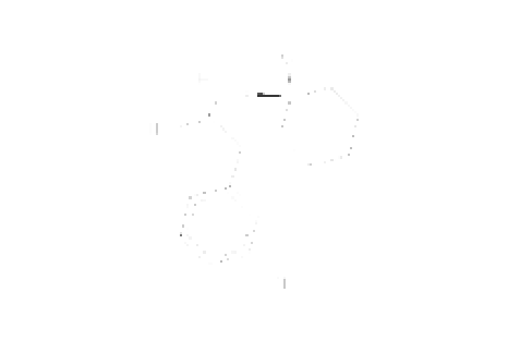 CN(C)C(c1cccc(O)c1)[C@H]1CCCC[C@@]1(C)O